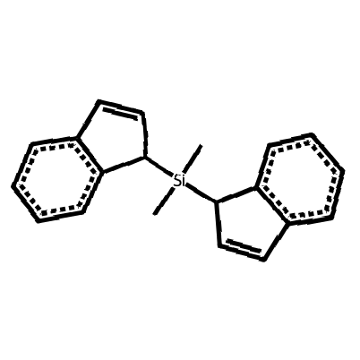 C[Si](C)(C1C=Cc2ccccc21)C1C=Cc2ccccc21